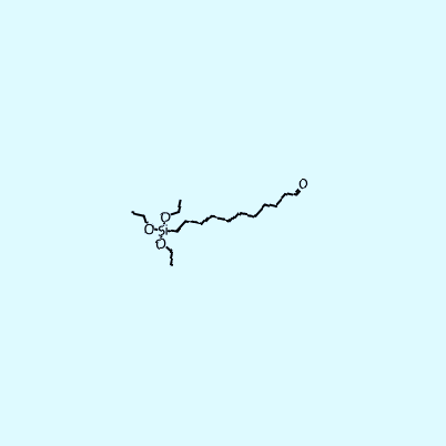 CCO[Si](CCCCCCCCCCC=O)(OCC)OCC